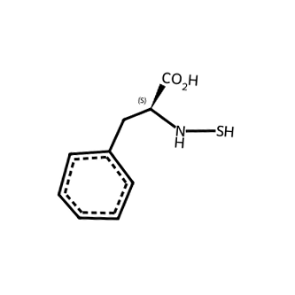 O=C(O)[C@H](Cc1ccccc1)NS